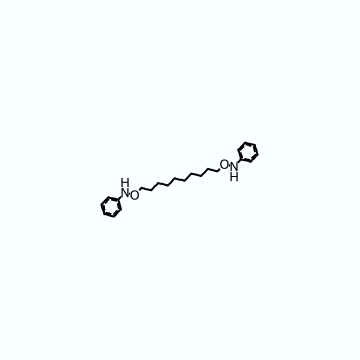 c1ccc(NOCCCCCCCCCCONc2ccccc2)cc1